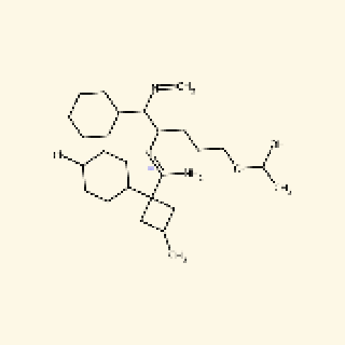 C=NC(C1CCCCC1)C(CCCOC(C)O)/N=C(\N)C1(C2CCC(Cl)CC2)CC(C)C1